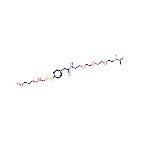 COCCCCOCSSc1ccc(CC(=O)NCCOCCOCCOCCNC(C)C)cc1